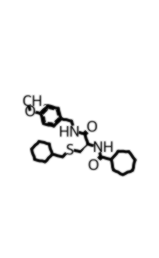 COc1ccc(CNC(=O)[C@H](CSCC2CCCCC2)NC(=O)C2CCCCCC2)cc1